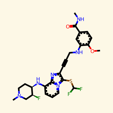 CNC(=O)c1ccc(OC)c(NCC#Cc2nc3c(N[C@@H]4CCN(C)C[C@@H]4F)cccn3c2SC(F)F)c1